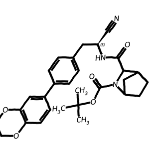 CC(C)(C)OC(=O)N1C2CCC(C2)C1C(=O)N[C@H](C#N)Cc1ccc(-c2ccc3c(c2)OCCO3)cc1